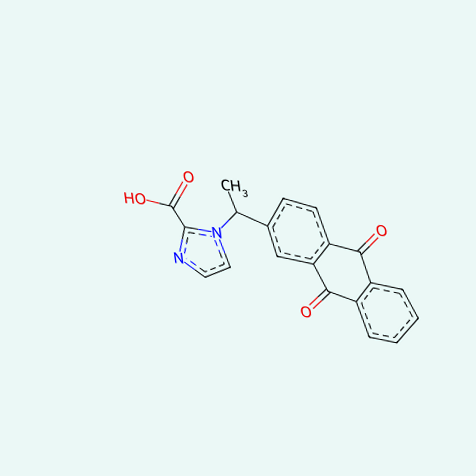 CC(c1ccc2c(c1)C(=O)c1ccccc1C2=O)n1ccnc1C(=O)O